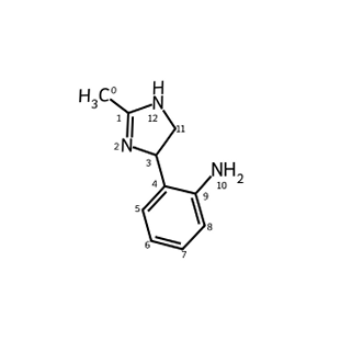 CC1=NC(c2ccccc2N)CN1